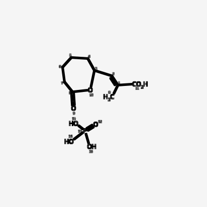 CC(=CC1CCCCC(=O)O1)C(=O)O.O=P(O)(O)O